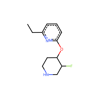 CCc1cccc(OC2CCNCC2F)n1